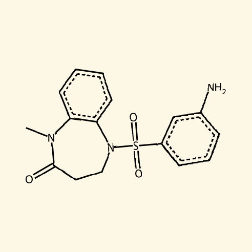 CN1C(=O)CCN(S(=O)(=O)c2cccc(N)c2)c2ccccc21